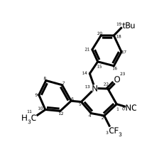 [C-]#[N+]c1c(C(F)(F)F)cc(-c2cccc(C)c2)n(Cc2ccc(C(C)(C)C)cc2)c1=O